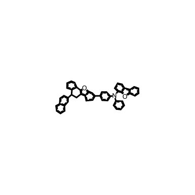 c1ccc(N(c2ccc(-c3ccc4c5c(oc4c3)-c3ccccc3C(c3ccc4ccccc4c3)C5)cc2)c2cccc3c2oc2ccccc23)cc1